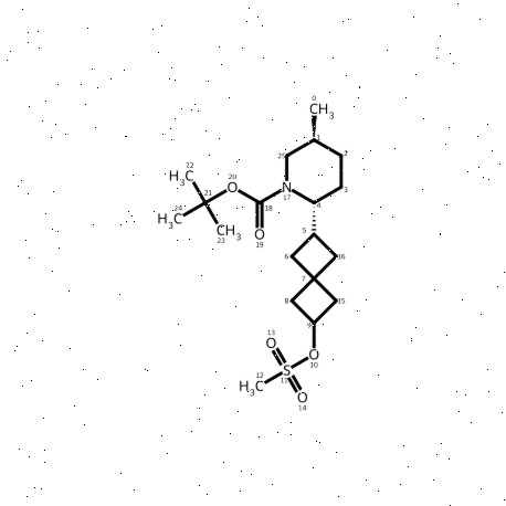 C[C@H]1CC[C@H](C2CC3(CC(OS(C)(=O)=O)C3)C2)N(C(=O)OC(C)(C)C)C1